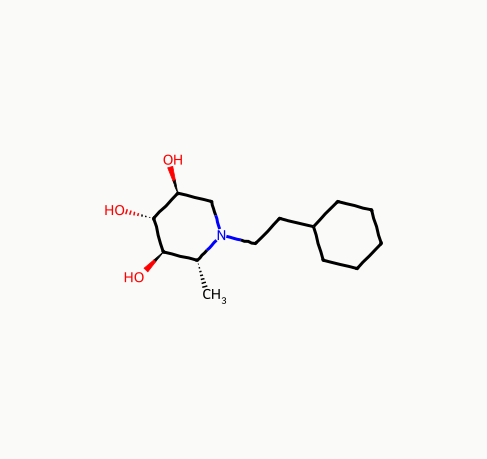 C[C@@H]1[C@@H](O)[C@H](O)[C@@H](O)CN1CCC1CCCCC1